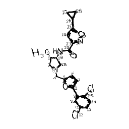 C[C@H]1CN(Cc2ccc(-c3cc(Cl)ccc3Cl)o2)C[C@@H]1NC(=O)c1cc(C2CC2)on1